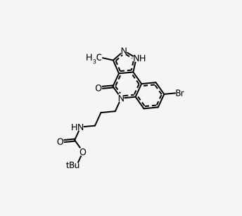 Cc1n[nH]c2c1c(=O)n(CCCNC(=O)OC(C)(C)C)c1ccc(Br)cc21